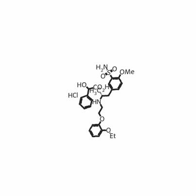 CCOc1ccccc1OCCN[C@H](C)Cc1ccc(OC)c(S(N)(=O)=O)c1.Cl.O=C(O)C(O)c1ccccc1